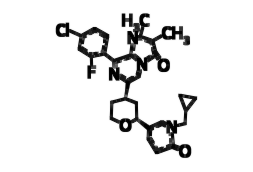 Cc1nc2c(-c3ccc(Cl)cc3F)nc([C@@H]3CCO[C@H](c4ccc(=O)n(CC5CC5)c4)C3)cn2c(=O)c1C